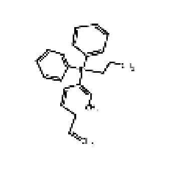 C=CC/C=C\C(=C/C)[PH](CCC)(c1ccccc1)c1ccccc1